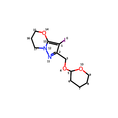 Ic1c(COC2CCCCO2)nn2c1OCCC2